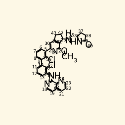 COc1nc(-c2cccc(-c3cccc(Nc4nccc5cccnc45)c3Cl)c2Cl)cc2c1[C@@H](NC[C@@H]1CCC(=O)N1)CC2